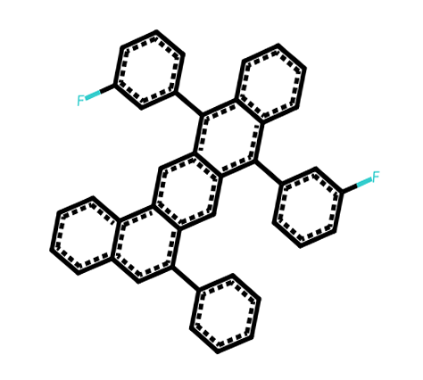 Fc1cccc(-c2c3ccccc3c(-c3cccc(F)c3)c3cc4c(cc23)c(-c2ccccc2)cc2ccccc24)c1